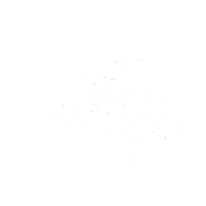 c1ccc2c(c1)ccc1c2c2cccc3c2n1B1c2cc4oc5ccccc5c4cc2N(c2ccc4oc5ccccc5c4c2)c2c1c-3cc1c2sc2ccccc21